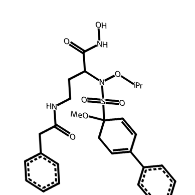 COC1(S(=O)(=O)N(OC(C)C)C(CCNC(=O)Cc2ccccc2)C(=O)NO)C=CC(c2ccccc2)=CC1